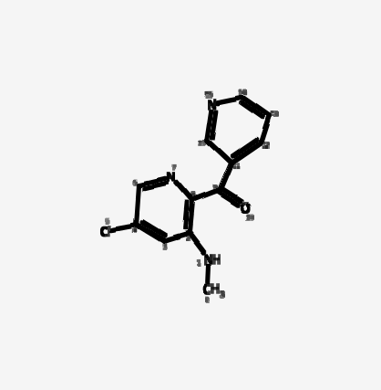 CNc1cc(Cl)cnc1C(=O)c1cccnc1